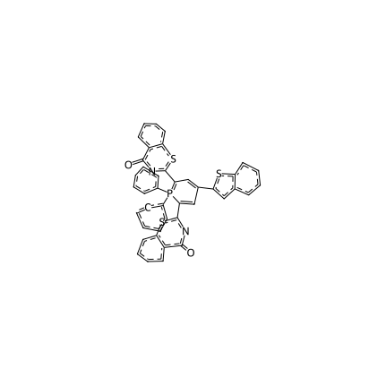 O=c1nc(C2=CC(c3cc4ccccc4s3)=CC(c3nc(=O)c4ccccc4s3)=P2(c2ccccc2)c2ccccc2)sc2ccccc12